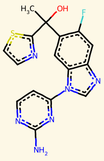 CC(O)(c1nccs1)c1cc2c(cc1F)ncn2-c1ccnc(N)n1